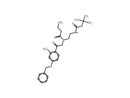 CCCC(=O)N(CCNC(=O)OC(C)(C)C)CC(=O)c1ccc(OCc2ccccc2)cc1C